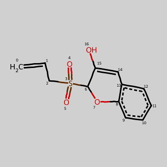 C=CCS(=O)(=O)C1Oc2ccccc2C=C1O